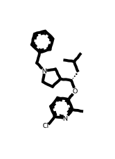 Cc1nc(Cl)ccc1O[C@@H](CC(C)C)C1CCN(Cc2ccccc2)C1